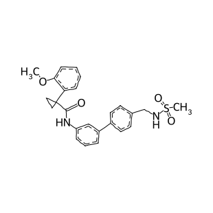 COc1ccccc1C1(C(=O)Nc2cccc(-c3ccc(CNS(C)(=O)=O)cc3)c2)CC1